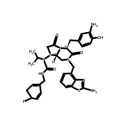 CC(C)N(C(=O)NCC1=CCC(F)C=C1)N1CC(=O)N2[C@@H](Cc3ccc(O)c(N)c3)C(=O)N(Cc3cccc4sc(N)nc34)C[C@@H]21